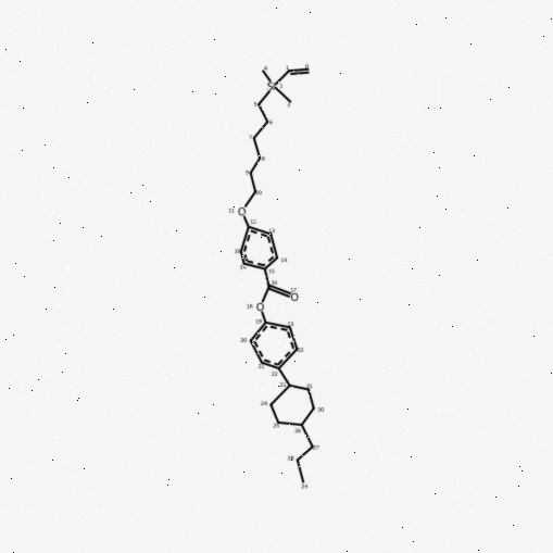 C=C[Si](C)(C)CCCCCCOc1ccc(C(=O)Oc2ccc(C3CCC(CCC)CC3)cc2)cc1